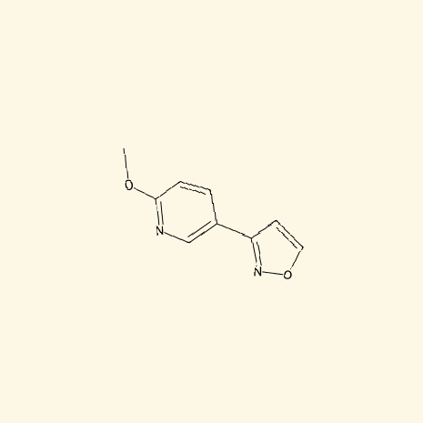 COc1ccc(-c2ccon2)cn1